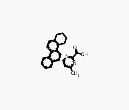 Cc1ccnc(C(=O)O)n1.c1ccc2c(c1)ccc1c3c(ccc12)CCCC3